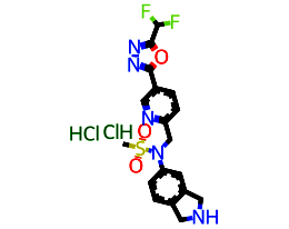 CS(=O)(=O)N(Cc1ccc(-c2nnc(C(F)F)o2)cn1)c1ccc2c(c1)CNC2.Cl.Cl